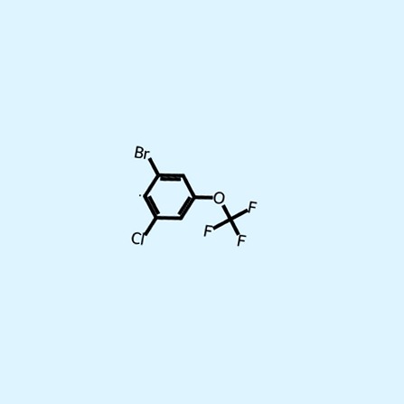 FC(F)(F)Oc1cc(Cl)[c]c(Br)c1